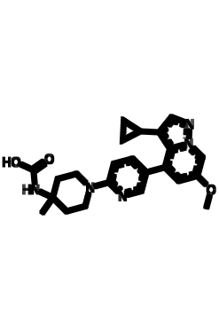 COc1cc(-c2ccc(N3CCC(C)(NC(=O)O)CC3)nc2)c2c(C3CC3)cnn2c1